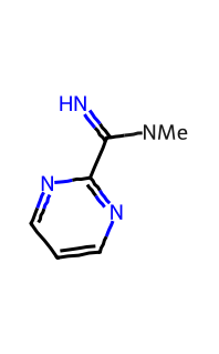 CNC(=N)c1ncccn1